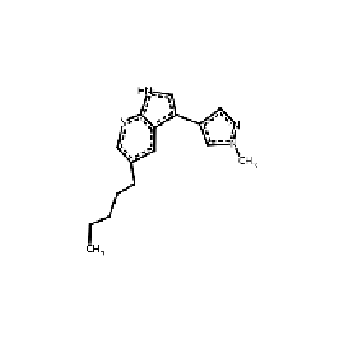 CCCCCc1cnc2[nH]cc(-c3cnn(C)c3)c2c1